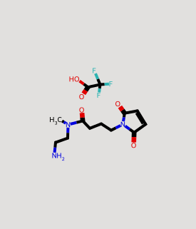 CN(CCN)C(=O)CCCN1C(=O)C=CC1=O.O=C(O)C(F)(F)F